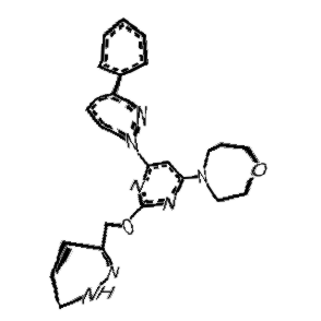 C1=CC(COc2nc(N3CCOCC3)cc(-n3ccc(-c4ccccc4)n3)n2)=NNC1